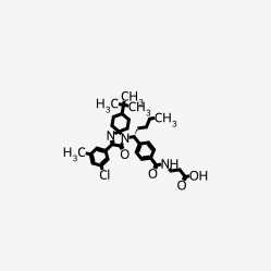 CCCC[C@H](c1ccc(C(=O)NCCC(=O)O)cc1)N1C(=O)C(c2cc(C)cc(Cl)c2)=NC12CCC(C(C)(C)C)CC2